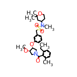 CCc1cccc(C)c1C(=O)N1C[C@@H](OC)[C@H](Oc2cccc(CS(=O)(=O)N(C)C3CCOC(C)(C)C3)c2)C1